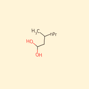 CCCC(C)CC(O)O